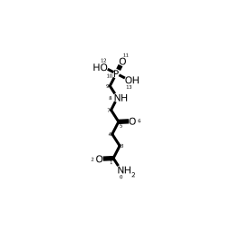 NC(=O)CCC(=O)CNCP(=O)(O)O